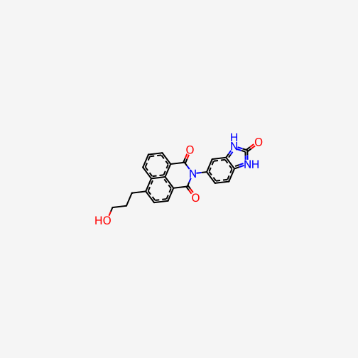 O=C1c2cccc3c(CCCO)ccc(c23)C(=O)N1c1ccc2[nH]c(=O)[nH]c2c1